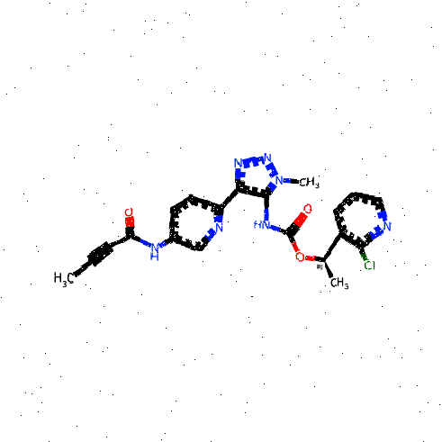 CC#CC(=O)Nc1ccc(-c2nnn(C)c2NC(=O)O[C@H](C)c2cccnc2Cl)nc1